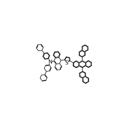 C1=CCCC(C2C=CC(N(C3=C4C=CC=CC4C(c4ccc(-c5ccc6c(-c7ccc8ccccc8c7)c7ccccc7c(-c7ccc8ccccc8c7)c6c5)s4)c4ccccc43)c3ccc(C4C=CC=CC4)cc3)=CC2)=C1